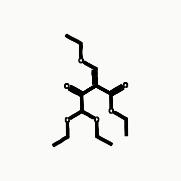 CCO/C=C(/C(=O)OCC)C(=O)C(OCC)OCC